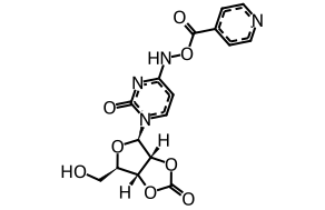 O=C1O[C@@H]2[C@H](O1)[C@@H](CO)O[C@H]2n1ccc(NOC(=O)c2ccncc2)nc1=O